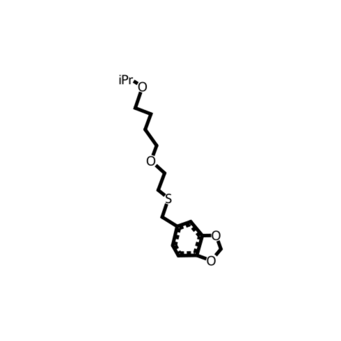 CC(C)OCCCCOCCSCc1ccc2c(c1)OCO2